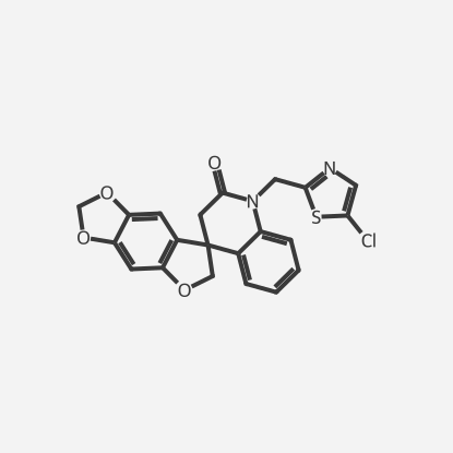 O=C1CC2(COc3cc4c(cc32)OCO4)c2ccccc2N1Cc1ncc(Cl)s1